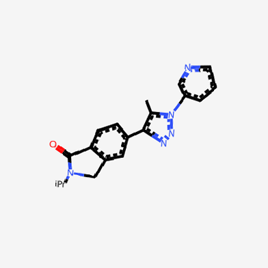 Cc1c(-c2ccc3c(c2)CN(C(C)C)C3=O)nnn1-c1cccnc1